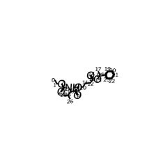 CCOC(=O)N[C@H](C(=O)OCCCC(=O)OC(C)c1ccccc1)C(C)C